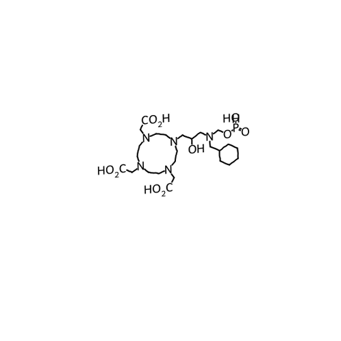 O=C(O)CN1CCN(CC(=O)O)CCN(CC(O)CN(CO[PH](=O)O)CC2CCCCC2)CCN(CC(=O)O)CC1